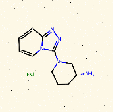 Cl.N[C@@H]1CCCN(c2nnc3ccccn23)C1